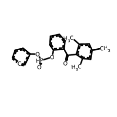 Cc1cc(C)c(C(=O)c2ccccc2O[PH](=O)Oc2ccccc2)c(C)c1